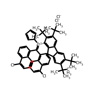 CC(C)(C)c1cc2c(cc1C(C)(C)C)-c1cc(C(C)(C)C)c(C(C)(C)C)[c]([Zr+2](=[C](c3cccc4c(Cl)cccc34)c3cccc4c(Cl)cccc34)[CH]3C=CC=C3)c1C2.[Cl-].[Cl-]